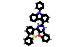 c1ccc(-n2c3ccccc3c3c(-c4nc(-c5cccc6c5sc5ccccc56)c5oc6ccccc6c5n4)cccc32)cc1